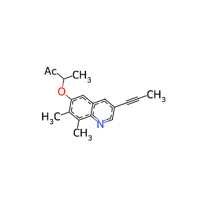 CC#Cc1cnc2c(C)c(C)c(OC(C)C(C)=O)cc2c1